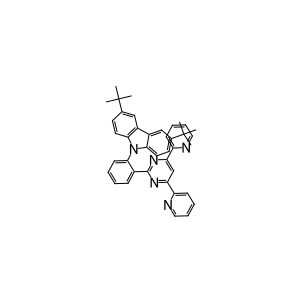 CC(C)(C)c1ccc2c(c1)c1cc(C(C)(C)C)ccc1n2-c1ccccc1-c1nc(-c2ccccn2)cc(-c2ccccn2)n1